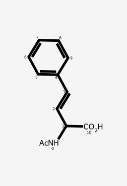 CC(=O)NC(/C=C/c1ccccc1)C(=O)O